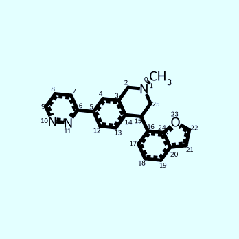 CN1Cc2cc(-c3cccnn3)ccc2C(c2cccc3ccoc23)C1